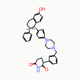 O=C1CCC(c2cccc(CN3CCN(c4ccc([C@@H]5c6ccc(O)cc6CC[C@@H]5c5ccccc5)cc4)CC3)c2)C(=O)N1